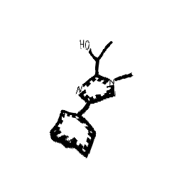 CC(O)c1nc(-c2ccccc2)cn1C